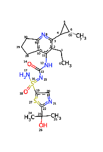 CCc1c(C2C[C@@H]2C)nc2c(c1NC(=O)N=S(N)(=O)c1cnc(C(C)(C)O)s1)CCC2